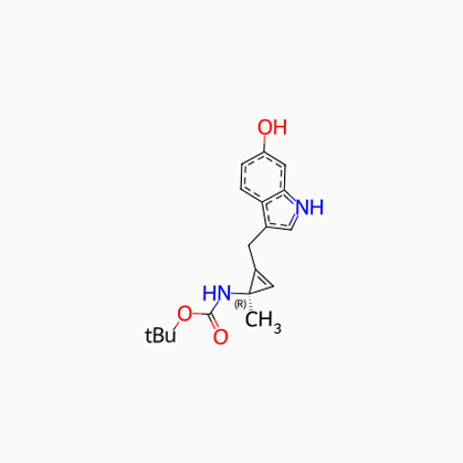 CC(C)(C)OC(=O)N[C@]1(C)C=C1Cc1c[nH]c2cc(O)ccc12